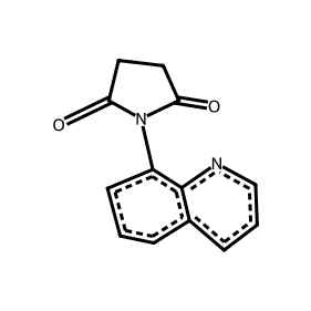 O=C1CCC(=O)N1c1cccc2cccnc12